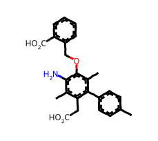 Cc1ccc(-c2c(C)c(OCc3ccccc3C(=O)O)c(N)c(C)c2CC(=O)O)cc1